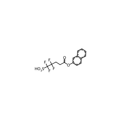 O=C(CCC(F)(F)C(F)(F)S(=O)(=O)O)Oc1ccc2ccccc2c1